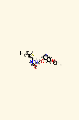 COc1ccc2c(OCCn3cc(-c4cc(C)cs4)ncc3=O)ccnc2c1